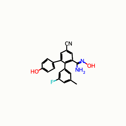 Cc1cc(F)cc(-c2c(/C(N)=N/O)cc(C#N)cc2-c2ccc(O)cc2)c1